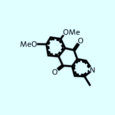 COc1cc(OC)c2c(c1)C(=O)c1cc(C)ncc1C2=O